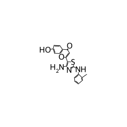 Cc1ccccc1Nc1nc(N)c(-c2cc(=O)c3ccc(O)cc3o2)s1